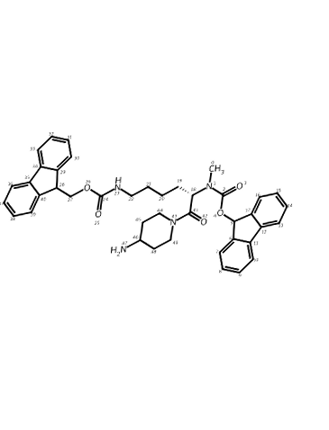 CN(C(=O)OC1c2ccccc2-c2ccccc21)[C@@H](CCCCNC(=O)OCC1c2ccccc2-c2ccccc21)C(=O)N1CCC(N)CC1